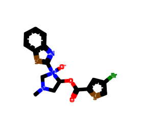 CN1CC(OC(=O)c2cc(Br)cs2)[N+]([O-])(c2nc3ccccc3s2)C1